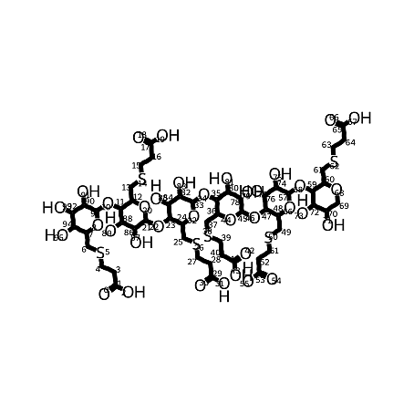 O=C(O)CCSCC1OC(OC2C(CSCCC(=O)O)OC(OC3C(CSCCC(=O)O)OC(OC4C(CSCCC(=O)O)OC(OC5C(CSCCC(=O)O)OC(OC6C(CSCCC(=O)O)OCC(O)C6O)C(O)C5O)C(O)C4O)C(O)C3O)C(O)C2O)C(O)C(O)C1O